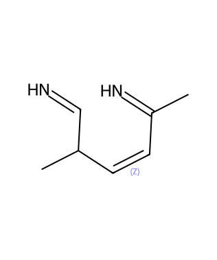 CC(=N)/C=C\C(C)C=N